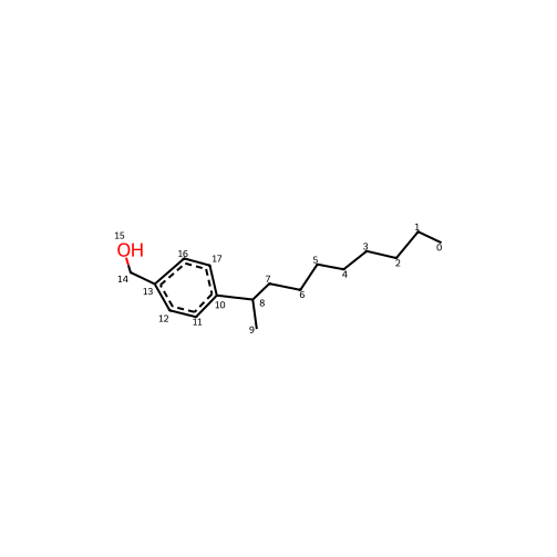 CCCCCCCCC(C)c1ccc(CO)cc1